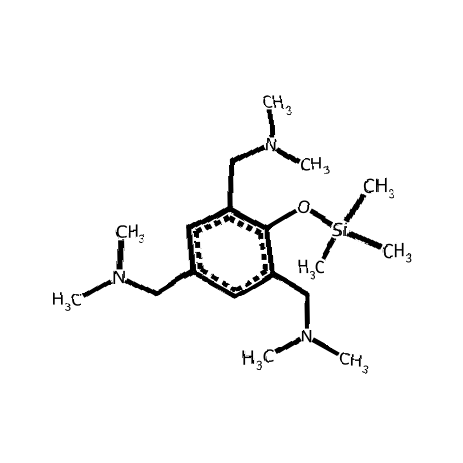 CN(C)Cc1cc(CN(C)C)c(O[Si](C)(C)C)c(CN(C)C)c1